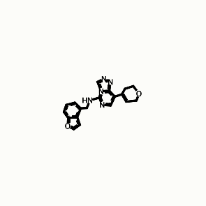 C1=C(c2cnc(NCc3cccc4occc34)n3cnnc23)CCOC1